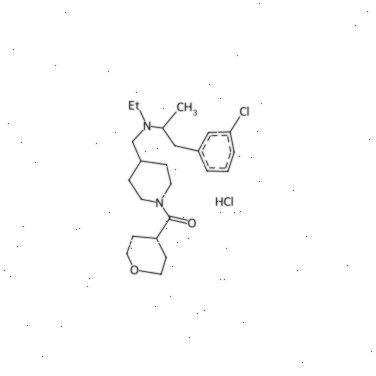 CCN(CC1CCN(C(=O)C2CCOCC2)CC1)C(C)Cc1cccc(Cl)c1.Cl